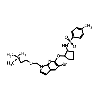 Cc1ccc(S(=O)(=O)NC2CCCC2Oc2nc3c(ccn3COCC[Si](C)(C)C)cc2Br)cc1